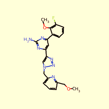 COCc1cccc(Cn2cc(-c3cc(-c4cccc(F)c4OC)nc(N)n3)nn2)n1